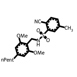 CCCCCc1cc(OC)c(CNS(=O)(=O)c2cc(C)ccc2C#N)c(OC)c1